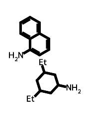 CCC1CC(N)CC(CC)C1.Nc1cccc2ccccc12